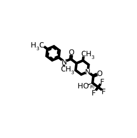 Cc1ccc(N(C)C(=O)C2CCN(C(=O)[C@@H](O)C(F)(F)F)CC2C)cc1